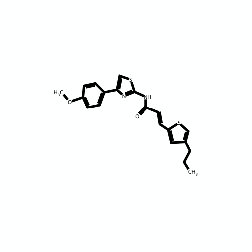 CCCc1csc(C=CC(=O)Nc2nc(-c3ccc(OC)cc3)cs2)c1